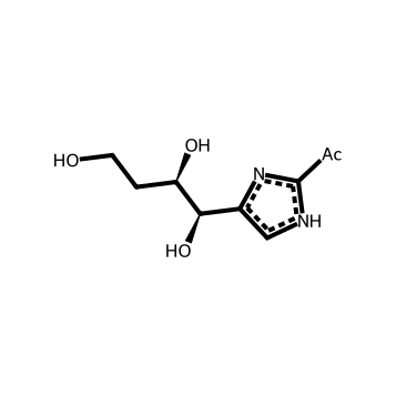 CC(=O)c1nc([C@@H](O)[C@H](O)CCO)c[nH]1